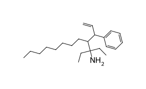 C=CC(c1ccccc1)C(CCCCCCCC)C(N)(CC)CC